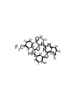 Cc1ccc(NC(=O)c2cccc(C(F)(F)F)c2)cc1Oc1nc(N2CCOCC2)nc2ccn(C)c12